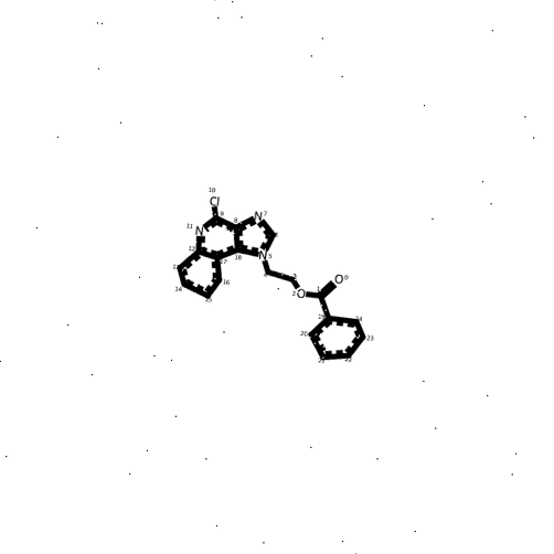 O=C(OCCn1cnc2c(Cl)nc3ccccc3c21)c1ccccc1